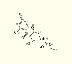 CCOC(=O)NC1CC(=O)C(C(=O)c2ccc(Cl)cc2Cl)C(=O)C1